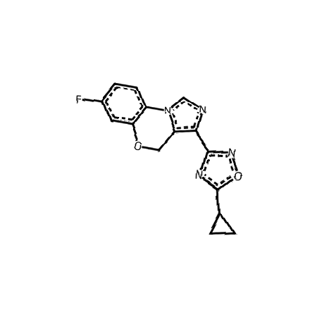 Fc1ccc2c(c1)OCc1c(-c3noc(C4CC4)n3)ncn1-2